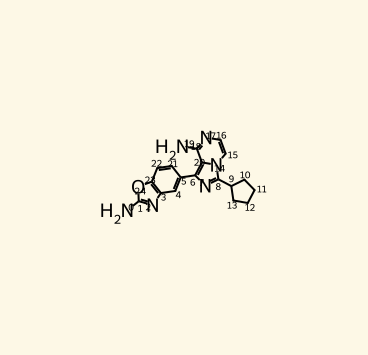 Nc1nc2cc(-c3nc(C4CCCC4)n4ccnc(N)c34)ccc2o1